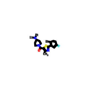 CCc1ccc(F)cc1-c1nc(C)c(C(=O)N2CCC(N(CC)CC)CC2)s1